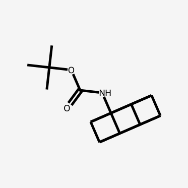 CC(C)(C)OC(=O)NC12C3C4C5C3C1C5C42